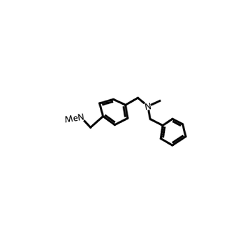 CNCc1ccc(CN(C)Cc2ccccc2)cc1